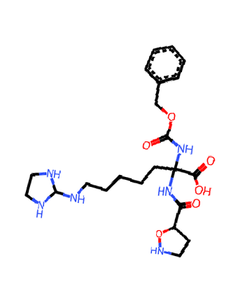 O=C(NC(CCCCCNC1NCCN1)(NC(=O)C1CCNO1)C(=O)O)OCc1ccccc1